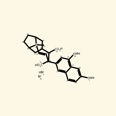 Br.COc1ccc2cc(CC=C[N+]3(C)C4CCC3CC(C(CC(=O)O)C(=O)O)C4)cc(OC)c2c1.[Br-]